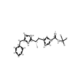 C[C@@H](Cc1cn(C(=O)OC(C)(C)C)cn1)c1nc(Cc2ccccc2)no1